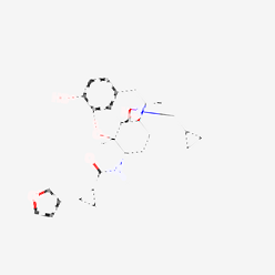 CN(C(=O)[C@H]1C[C@@H]1c1ccoc1)[C@@H]1CC[C@@]2(O)[C@H]3Cc4ccc(O)c5c4[C@@]2(CCN3CC2CC2)[C@H]1O5